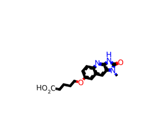 Cn1c(=O)[nH]c2nc3ccc(OCCCCC(=O)O)cc3cc21